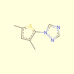 Cc1cc(C)c(-n2cncn2)s1